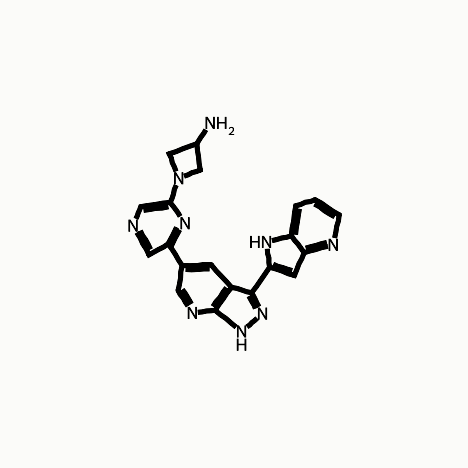 NC1CN(c2cncc(-c3cnc4[nH]nc(-c5cc6ncccc6[nH]5)c4c3)n2)C1